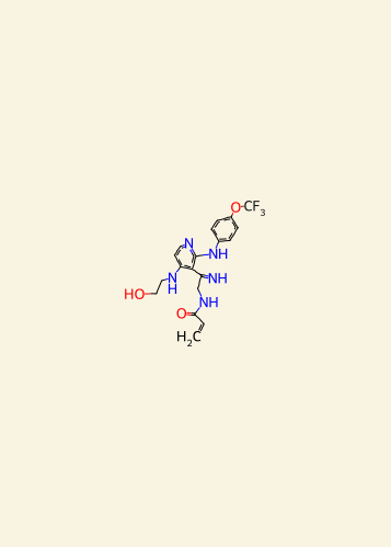 C=CC(=O)NCC(=N)c1c(NCCO)ccnc1Nc1ccc(OC(F)(F)F)cc1